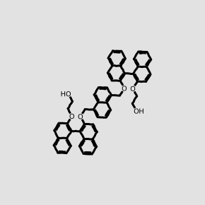 OCCOc1ccc2ccccc2c1-c1c(OCc2cccc3c(COc4ccc5ccccc5c4-c4c(OCCO)ccc5ccccc45)cccc23)ccc2ccccc12